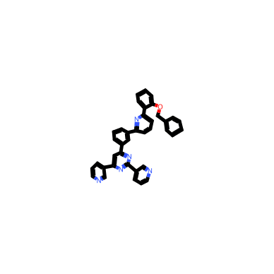 c1ccc(COc2ccccc2-c2cccc(-c3cccc(-c4cc(-c5cccnc5)nc(-c5cccnc5)n4)c3)n2)cc1